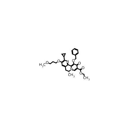 CCOC(=O)c1cn2c(c(OCc3ccccc3)c1=O)-c1nc(C3CC3)c(OCCCOC)cc1C[C@H]2C